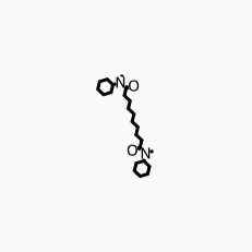 CN(C(=O)CCCCCCCCC(=O)N(C)C1CCCCC1)C1CCCCC1